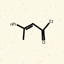 CCCC(C)=CC(=O)CC